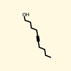 CCCCC#CCCCCO